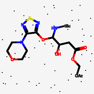 CC(=O)OCOC(=O)CC(O)C(NC(C)(C)C)Oc1nsnc1N1CCOCC1